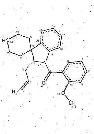 C=CC[C@H]1N(C(=O)c2ccccc2OC)c2ccccc2C12CCNCC2